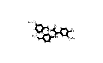 COc1cc(C(Nc2ccc(CN)cc2)C(=O)NCc2cccc(NC(C)=O)c2)ccc1Cl